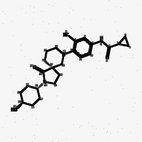 N#Cc1cc(NC(=O)C2CC2)ccc1N1CCC[C@@]2(CCN([C@H]3CC[C@H](O)CC3)C2=O)C1